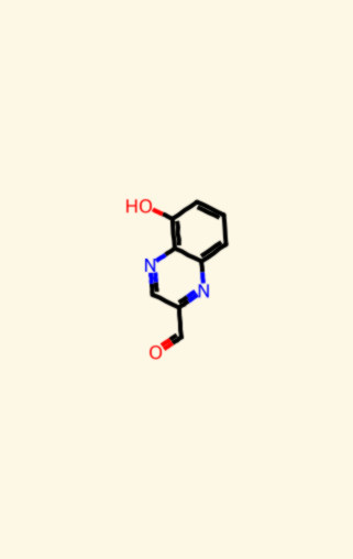 O=Cc1cnc2c(O)cccc2n1